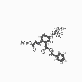 CC(=O)[O-].CC(=O)[O-].COC(=O)/C=C/c1ccc(Br)cc1C(=O)OCc1ccccc1.[Pd+2]